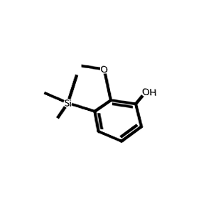 COc1c(O)cccc1[Si](C)(C)C